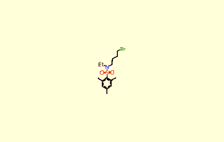 CCN(CCCCBr)S(=O)(=O)c1c(C)cc(C)cc1C